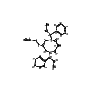 CCCCCCCCCCCCN1CC(C(OCC)c2ccccc2)OBOC(C(OCC)c2ccccc2)C1